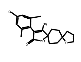 Cc1cc(Cl)cc(C)c1C1=C(O)C2(CCC3(CCCO3)CC2)NC1=O